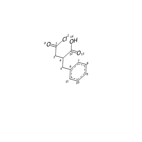 O=C(Cl)CC(Cc1ccccc1)C(=O)O